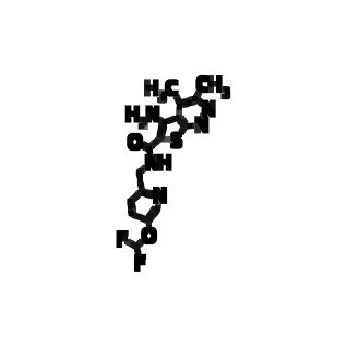 Cc1nnc2sc(C(=O)NCc3ccc(OC(F)F)cn3)c(N)c2c1C